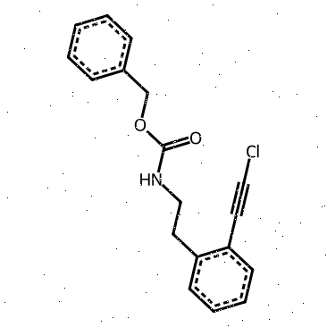 O=C(NCCc1ccccc1C#CCl)OCc1ccccc1